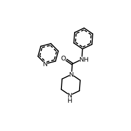 O=C(Nc1ccccc1)N1CCNCC1.c1ccncc1